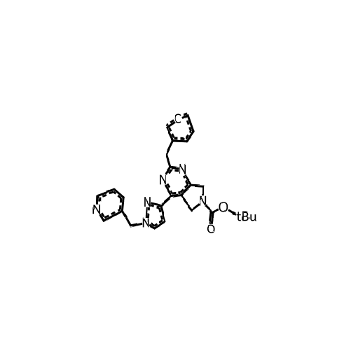 CC(C)(C)OC(=O)N1Cc2nc(Cc3ccccc3)nc(-c3ccn(Cc4cccnc4)n3)c2C1